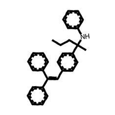 CCCC(C)(Nc1ccccc1)c1ccc(C=C(c2ccccc2)c2ccccc2)cc1